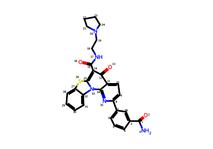 NC(=O)c1cccc(-c2ccc3c(=O)c(C(=O)NCCN4CCCC4)c4sc5ccccc5n4c3n2)c1